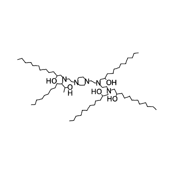 CCCCCCCCCCC(O)CN(CCN1CCN(CCN(CC(O)CCCCCCCCCC)C(CCCCCCCCC)C(C)O)CC1)CCN(CC(O)CCCCCCCCCC)CC(O)CCCCCCCCCC